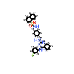 O=S(=O)(NC[C@H]1CC[C@H](CNc2nc(Nc3cccc(F)c3)c3ccccc3n2)CC1)c1cccc2ccccc12